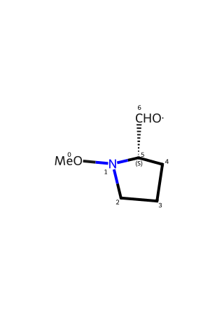 CON1CCC[C@H]1[C]=O